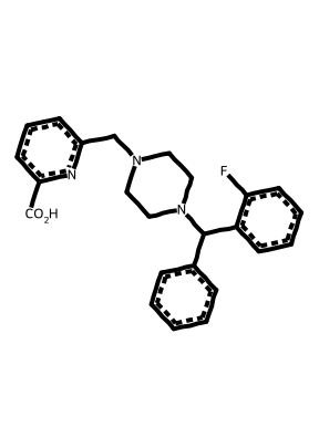 O=C(O)c1cccc(CN2CCN(C(c3ccccc3)c3ccccc3F)CC2)n1